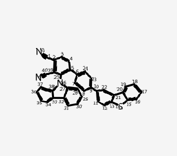 N#Cc1ccc(-c2ccc(-c3ccc4sc5ccccc5c4c3)cc2)c(-n2c3ccccc3c3ccccc32)c1C#N